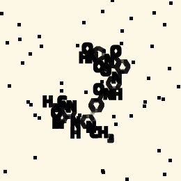 CN1C[C@H](Nc2cnn(C)c(=O)c2Br)C[C@H](c2ccc(C(=O)NC3CCN(c4cccc5c4C(=O)N(C4CCC(=O)NC4=O)C5=O)CC3)cc2)C1